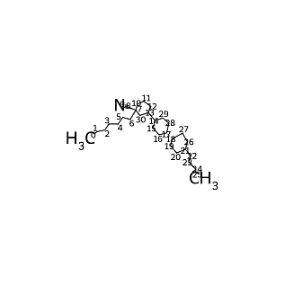 CCCCCCCC1(C#N)CCCC(C2CCC([C@H]3CC[C@H](CCCC)CC3)CC2)C1